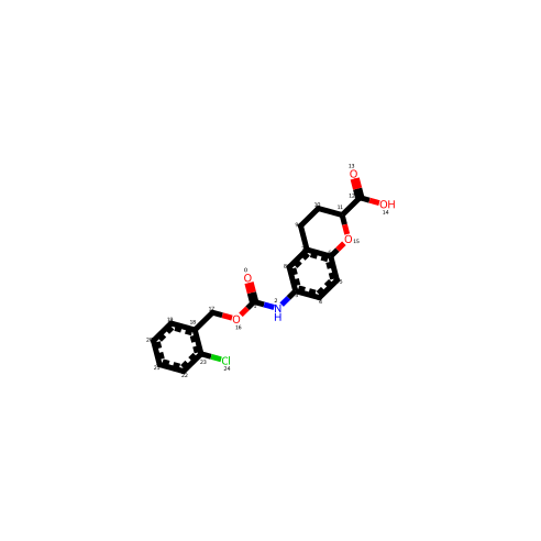 O=C(Nc1ccc2c(c1)CCC(C(=O)O)O2)OCc1ccccc1Cl